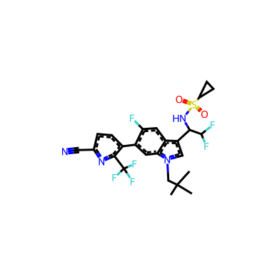 CC(C)(C)Cn1cc(C(NS(=O)(=O)C2CC2)C(F)F)c2cc(F)c(-c3ccc(C#N)nc3C(F)(F)F)cc21